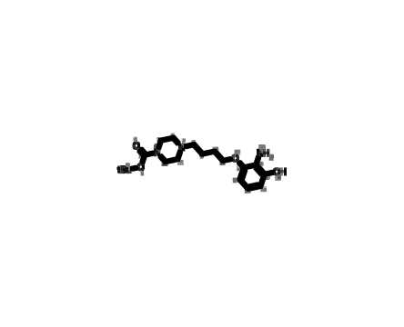 CC(C)(C)OC(=O)N1CCN(CCCCOc2cccc(O)c2N)CC1